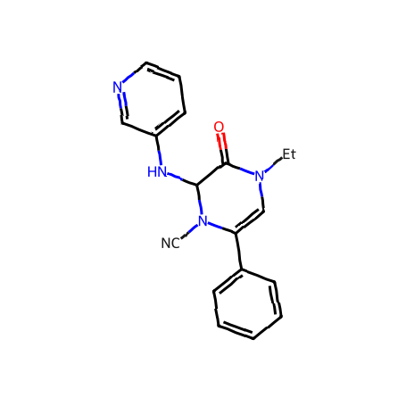 CCN1C=C(c2ccccc2)N(C#N)C(Nc2cccnc2)C1=O